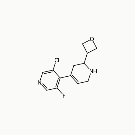 Fc1cncc(Cl)c1C1=CCNC(C2COC2)C1